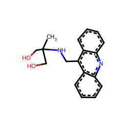 CC(CO)(CO)NCc1c2ccccc2nc2ccccc12